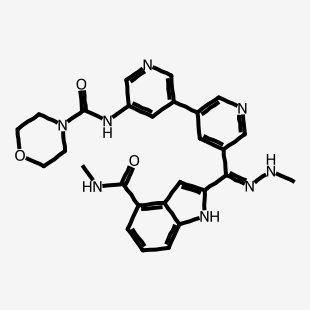 CN/N=C(\c1cncc(-c2cncc(NC(=O)N3CCOCC3)c2)c1)c1cc2c(C(=O)NC)cccc2[nH]1